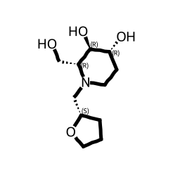 OC[C@@H]1[C@@H](O)[C@H](O)CCN1C[C@@H]1CCCO1